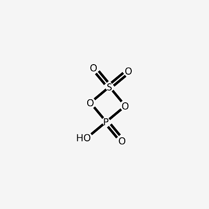 O=P1(O)OS(=O)(=O)O1